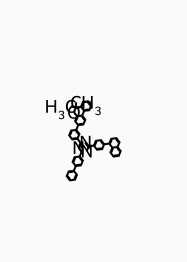 CC1(C)Oc2cc(-c3cccc(-c4nc(-c5ccc(-c6ccccc6)cc5)nc(-c5ccc(-c6cccc7ccccc67)cc5)n4)c3)ccc2-c2ccccc21